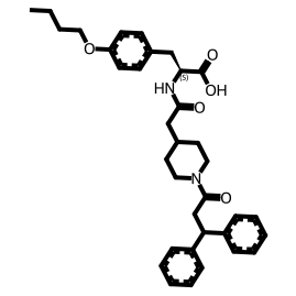 CCCCOc1ccc(C[C@H](NC(=O)CC2CCN(C(=O)CC(c3ccccc3)c3ccccc3)CC2)C(=O)O)cc1